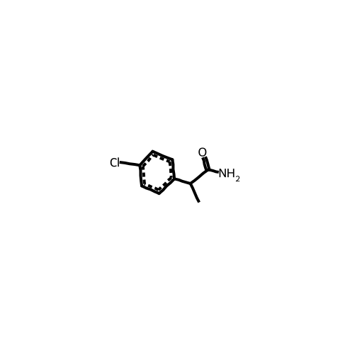 CC(C(N)=O)c1ccc(Cl)cc1